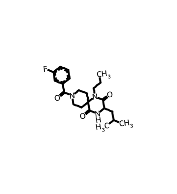 CCCN1C(=O)C(CC(C)C)NC(=O)C12CCN(C(=O)c1cccc(F)c1)CC2